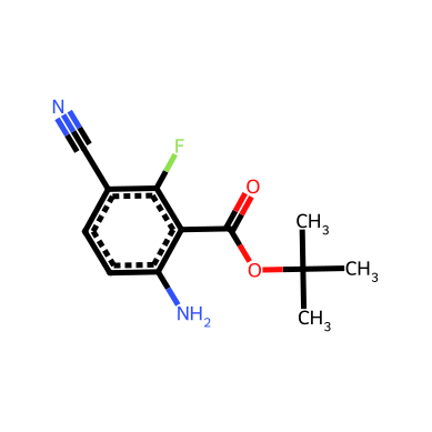 CC(C)(C)OC(=O)c1c(N)ccc(C#N)c1F